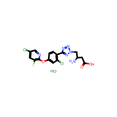 Cl.NC(CC(=O)O)Cn1nnc(-c2ccc(Oc3ncc(Cl)cc3F)cc2Cl)n1